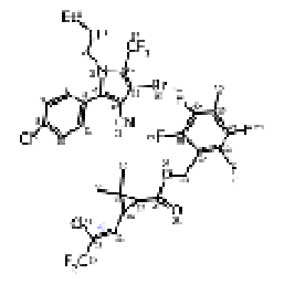 CCOCn1c(-c2ccc(Cl)cc2)c(C#N)c(Br)c1C(F)(F)F.Cc1c(F)c(F)c(COC(=O)C2C(/C=C(\Cl)C(F)(F)F)C2(C)C)c(F)c1F